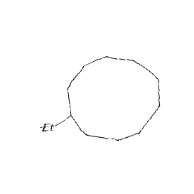 C[CH]C1CCCCCCCCC1